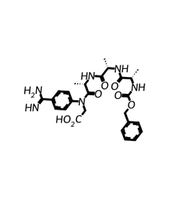 C[C@H](NC(=O)OCc1ccccc1)C(=O)N[C@@H](C)C(=O)N[C@@H](C)C(=O)N(CC(=O)O)c1ccc(C(=N)N)cc1